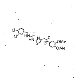 COc1ccc(S(=O)(=O)Cc2csc(NC(=O)NCc3ccc(Cl)c(Cl)c3)n2)cc1OC